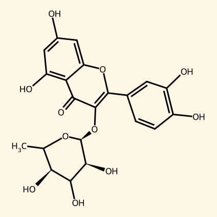 CC1O[C@@H](Oc2c(-c3ccc(O)c(O)c3)oc3cc(O)cc(O)c3c2=O)[C@@H](O)C(O)[C@H]1O